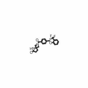 O=C1CCC2(CN(C(=O)c3ccc(COc4ccccc4C(F)(F)F)cc3)C2)N1